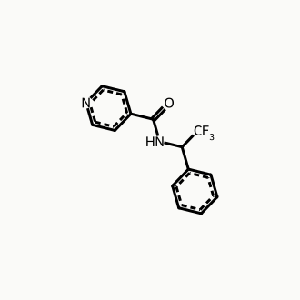 O=C(NC(c1ccccc1)C(F)(F)F)c1ccncc1